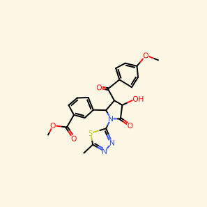 COC(=O)c1cccc(C2C(C(=O)c3ccc(OC)cc3)C(O)C(=O)N2c2nnc(C)s2)c1